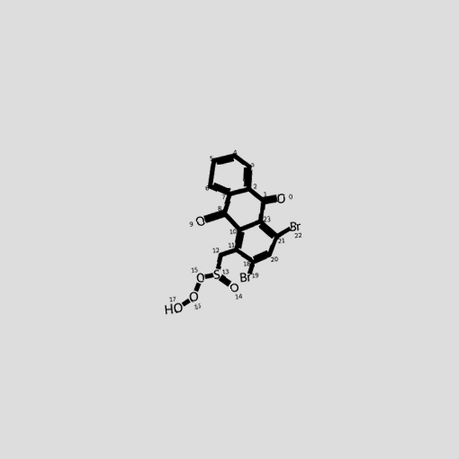 O=C1c2ccccc2C(=O)c2c(CS(=O)OOO)c(Br)cc(Br)c21